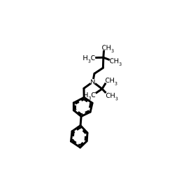 CC(C)(C)CCN(Cc1ccc(-c2ccccc2)cc1)C(C)(C)C